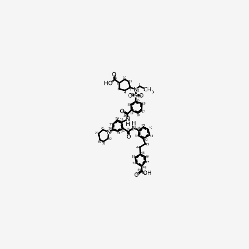 CCN(C1CCC(C(=O)O)CC1)S(=O)(=O)c1cccc(C(=O)Nc2ccc(N3CCCCC3)cc2C(=O)Nc2cccc(CCc3ccc(C(=O)O)cc3)c2)c1